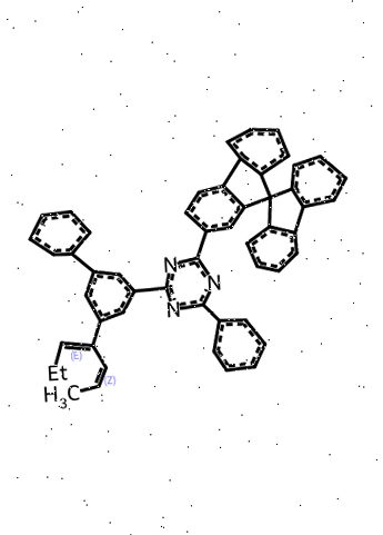 C/C=C\C(=C/CC)c1cc(-c2ccccc2)cc(-c2nc(-c3ccccc3)nc(-c3ccc4c(c3)C3(c5ccccc5-c5ccccc53)c3ccccc3-4)n2)c1